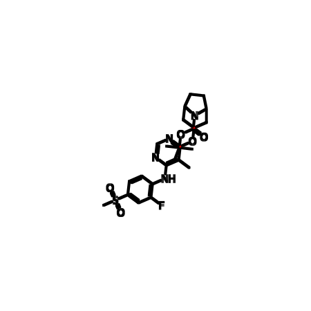 Cc1c(Nc2ccc(S(C)(=O)=O)cc2F)ncnc1OC1CC2CCC(C1)N2C(=O)OC(C)(C)C